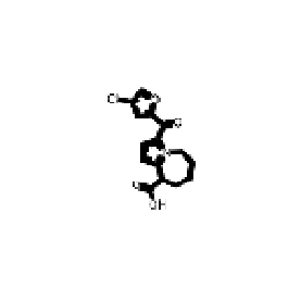 O=C(c1cc(Cl)co1)c1ccc2n1CCCCC2C(=O)O